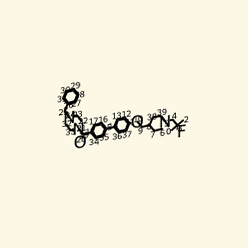 CC(C)(F)CN1CCC(COc2ccc(-c3ccc(C(=O)N4CCN(Cc5ccccc5)CC4)cc3)cc2)CC1